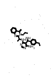 C=C1c2ccccc2N=C(C(C)Nc2ncnc(N)c2C(=N)c2ccc(CC)cc2)N1CCC